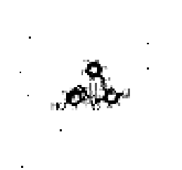 O=C(N[C@H]1C2CC3CC1C[C@@](O)(C3)C2)c1ccc(Cl)nc1SCc1ccccc1